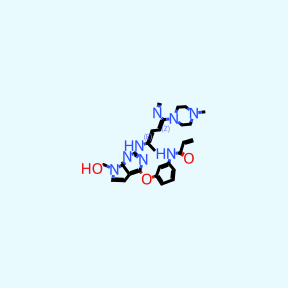 C=CC(=O)Nc1cccc(Oc2nc(N/C(C)=C/C=C(\N=C)N3CCN(C)CC3)nc3c2ccn3CO)c1